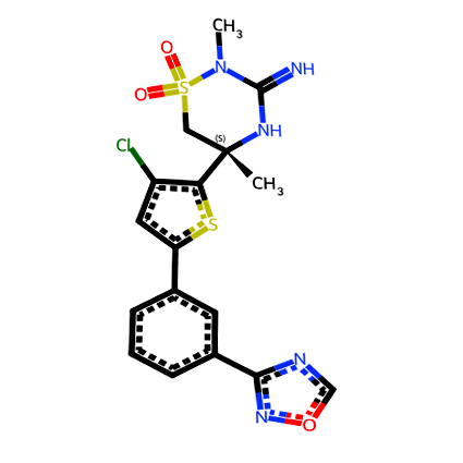 CN1C(=N)N[C@](C)(c2sc(-c3cccc(-c4ncon4)c3)cc2Cl)CS1(=O)=O